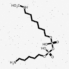 NCCCCCOP(=O)(O)OP(=O)(O)OCCCCCCCNC(=O)O